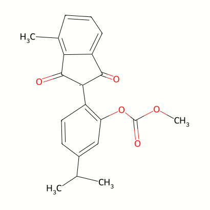 COC(=O)Oc1cc(C(C)C)ccc1[C]1C(=O)c2cccc(C)c2C1=O